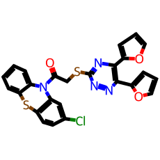 O=C(CSc1nnc(-c2ccco2)c(-c2ccco2)n1)N1c2ccccc2Sc2ccc(Cl)cc21